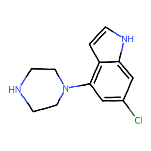 Clc1cc(N2CCNCC2)c2cc[nH]c2c1